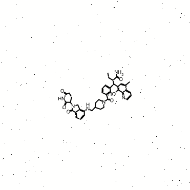 CCC(C(N)=O)C(c1cccc(C(=O)N2CCC(CNc3cccc4c3CN(C3CCC(=O)NC3=O)C4=O)CC2)c1)c1cc(C)c2cccnc2c1O